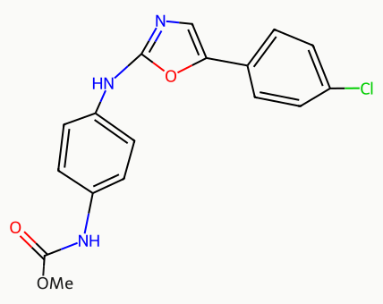 COC(=O)Nc1ccc(Nc2ncc(-c3ccc(Cl)cc3)o2)cc1